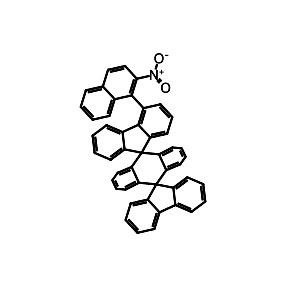 O=[N+]([O-])c1ccc2ccccc2c1-c1cccc2c1-c1ccccc1C21c2ccccc2C2(c3ccccc3-c3ccccc32)c2ccccc21